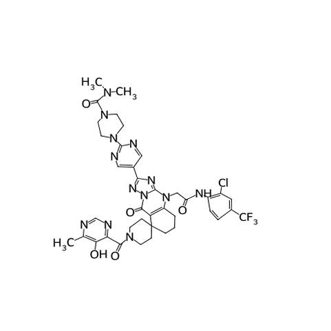 Cc1ncnc(C(=O)N2CCC3(CCCc4c3c(=O)n3nc(-c5cnc(N6CCN(C(=O)N(C)C)CC6)nc5)nc3n4CC(=O)Nc3ccc(C(F)(F)F)cc3Cl)CC2)c1O